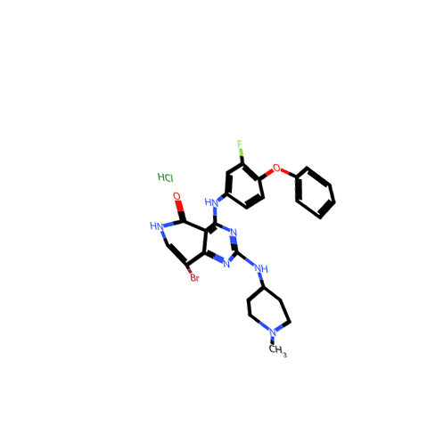 CN1CCC(Nc2nc(Nc3ccc(Oc4ccccc4)c(F)c3)c3c(=O)[nH]cc(Br)c3n2)CC1.Cl